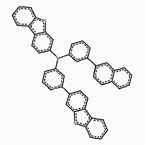 c1cc(-c2ccc3ccccc3c2)cc(N(c2cccc(-c3ccc4c(c3)sc3ccccc34)c2)c2ccc3c(c2)sc2ccccc23)c1